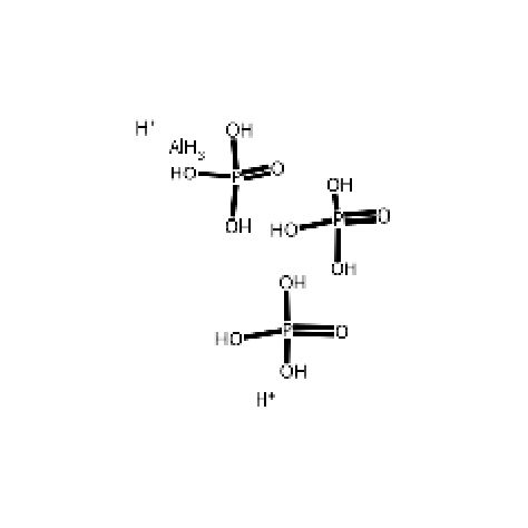 O=P(O)(O)O.O=P(O)(O)O.O=P(O)(O)O.[AlH3].[H+].[H+]